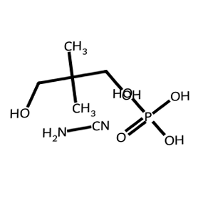 CC(C)(CO)CO.N#CN.O=P(O)(O)O